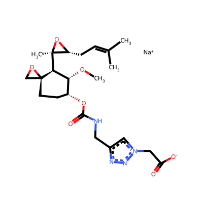 CO[C@@H]1[C@H](OC(=O)NCc2cn(CC(=O)[O-])nn2)CC[C@]2(CO2)[C@H]1[C@@]1(C)O[C@@H]1CC=C(C)C.[Na+]